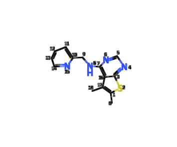 Cc1sc2ncnc(NCc3ccccn3)c2c1C